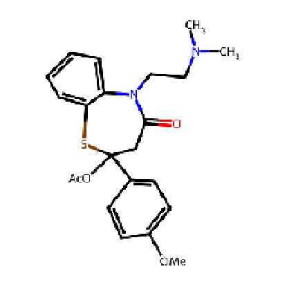 COc1ccc(C2(OC(C)=O)CC(=O)N(CCN(C)C)c3ccccc3S2)cc1